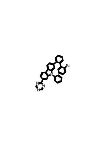 Brc1ccccc1-c1ccccc1-c1ccc2c3ccc(-c4ncncn4)cc3n(-c3ccccc3)c2c1